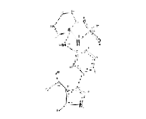 Cc1ncc(-c2ccnc(NC3(NS(C)(=O)=O)CCCCC3)n2)n1C(C)C